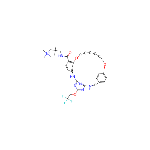 CC(C)(CNC(=O)c1ccc2cc1OCCCCCCOc1ccc(cc1)CNc1nc(nc(OCC(F)(F)F)n1)N2)C[N+](C)(C)C